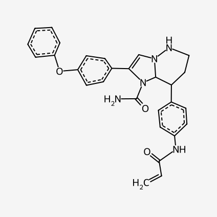 C=CC(=O)Nc1ccc(C2CCNN3C=C(c4ccc(Oc5ccccc5)cc4)N(C(N)=O)C23)cc1